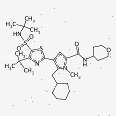 Cn1c(C(=O)NC2CCOCC2)cc(-c2nc(C(C)(C)C)c(S(=O)(=O)NC(C)(C)C)s2)c1CC1CCCCC1